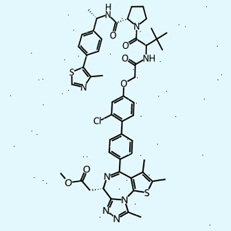 COC(=O)C[C@@H]1N=C(c2ccc(-c3ccc(OCC(=O)NC(C(=O)N4CCC[C@H]4C(=O)N[C@@H](C)c4ccc(-c5scnc5C)cc4)C(C)(C)C)cc3Cl)cc2)c2c(sc(C)c2C)-n2c(C)nnc21